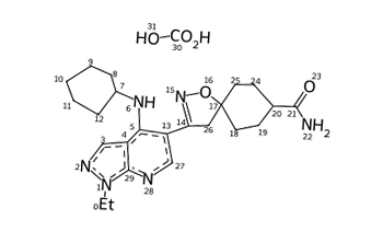 CCn1ncc2c(NC3CCCCC3)c(C3=NOC4(CCC(C(N)=O)CC4)C3)cnc21.O=C(O)O